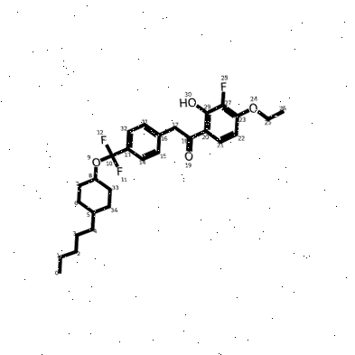 CCCCCC1CCC(OC(F)(F)c2ccc(CC(=O)c3ccc(OCC)c(F)c3O)cc2)CC1